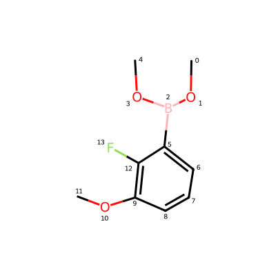 COB(OC)c1cccc(OC)c1F